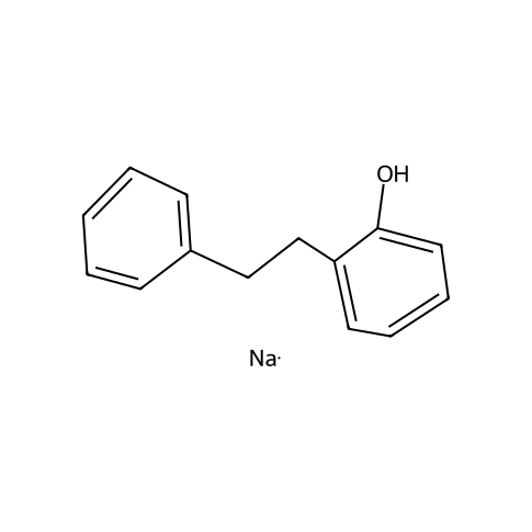 Oc1ccccc1CCc1ccccc1.[Na]